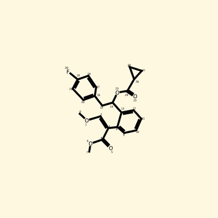 COC=C(C(=O)OC)c1ccccc1C(Cc1ccc(F)cc1)OC(=O)C1CC1